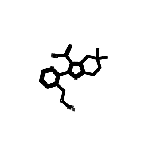 CC1(C)CCc2sc(-c3ncccc3CON)c(C(=O)O)c2C1